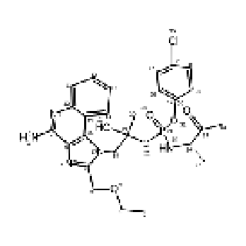 CCOCc1nc2c(N)nc3ccccc3c2n1CC(C)(O)OP(=O)(N[C@@H](C)C(C)=O)Oc1ccc(Cl)cc1